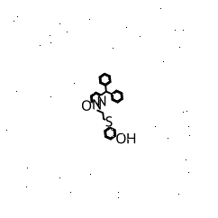 O=c1ccc(C(c2ccccc2)c2ccccc2)nn1CCCSc1cccc(O)c1